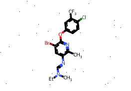 CCN(C)/C=N/c1cc(Br)c(Oc2ccc(Cl)c(C(F)(F)F)c2)nc1C